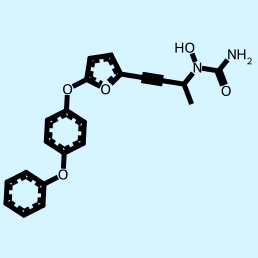 CC(C#Cc1ccc(Oc2ccc(Oc3ccccc3)cc2)o1)N(O)C(N)=O